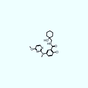 COc1ccnc(N(C)c2ccc(Cl)c(C(=O)NCC3(O)CCCCC3)c2)n1